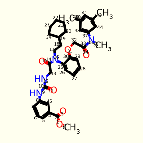 COC(=O)c1cccc(NC(=O)NCC(=O)N(CCC2CCCCC2)c2ccccc2OCC(=O)N(C)c2cc(C)cc(C)c2)c1